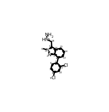 Cn1nc2c(-c3ccc(Cl)cc3Cl)cccc2c1CNN